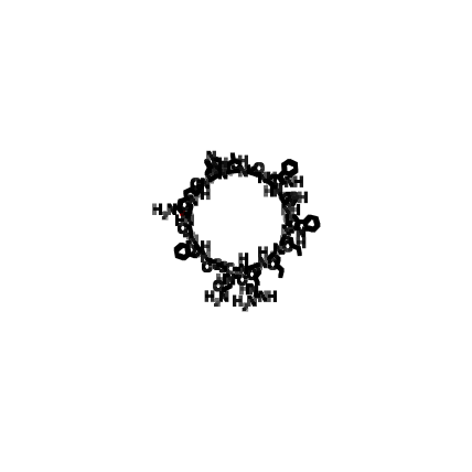 CCCC[C@H]1C(=O)N(C)[C@@H](CCCC)C(=O)N[C@@H](CCCNC(=N)N)C(=O)N[C@H](C(=O)NCC(N)=O)CSCC(=O)N[C@@H](Cc2ccccc2)C(=O)N(C)[C@@H](C)C(=O)N[C@H]2CC(N)=CC3CC[C@@H](C(=O)N[C@@H](Cc4cnc[nH]4)C(=O)N[C@@H](CC(C)C)C(=O)NC(C)(C)C(=O)N[C@@H](Cc4c[nH]c5ccccc45)C(=O)N[C@@H](CO)C(=O)N[C@@H](Cc4c[nH]c5ccccc45)C(=O)N1C)N3C2=O